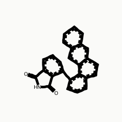 O=C1NC(=O)c2c1cccc2-c1cccc2ccc3cc4ccccc4cc3c12